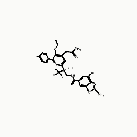 CCOc1c(CC(N)=O)cc([C@@](O)(CNC(=O)c2cc(Br)c3nc(N)oc3c2)C(F)(F)F)nc1-c1ccc(F)cc1